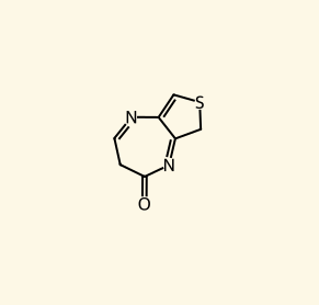 O=C1CC=NC2=CSCC2=N1